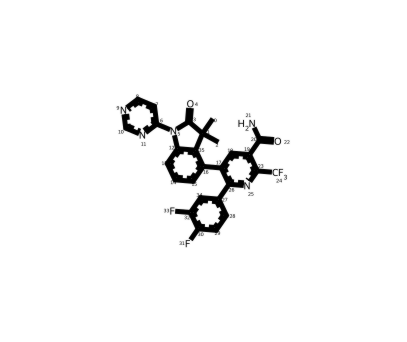 CC1(C)C(=O)N(c2ccncn2)c2cccc(-c3cc(C(N)=O)c(C(F)(F)F)nc3-c3ccc(F)c(F)c3)c21